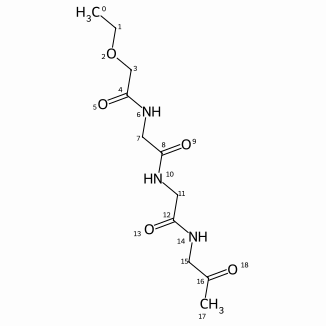 CCOCC(=O)NCC(=O)NCC(=O)NCC(C)=O